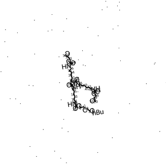 CCCCOCCOCCOC(=O)NCCCCCCNC(=O)N(CCCCCCNC(=O)OCC1CO1)C(=O)NCCCCCCNC(=O)OCC1CO1